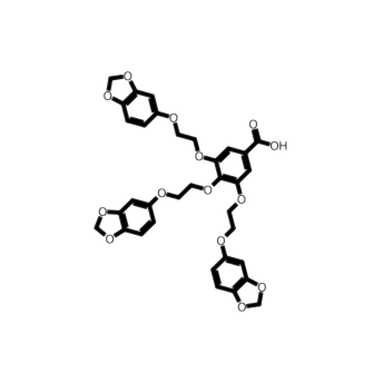 O=C(O)c1cc(OCCOc2ccc3c(c2)OCO3)c(OCCOc2ccc3c(c2)OCO3)c(OCCOc2ccc3c(c2)OCO3)c1